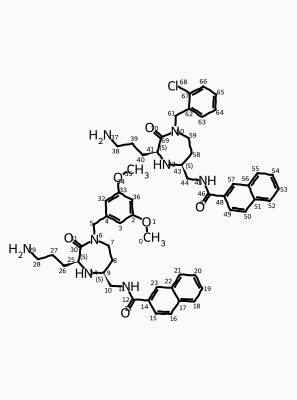 COc1cc(CN2CC[C@@H](CNC(=O)c3ccc4ccccc4c3)N[C@@H](CCCN)C2=O)cc(OC)c1.NCCC[C@@H]1N[C@H](CNC(=O)c2ccc3ccccc3c2)CCN(Cc2ccccc2Cl)C1=O